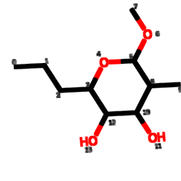 CCCC1OC(OC)C(C)C(O)C1O